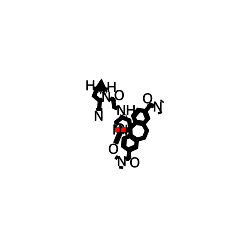 CN(C)C(=O)c1ccc2c(c1)CCc1cc(C(=O)N(C)C)ccc1C21C[C@H](NCC(=O)N2C(C#N)C[C@@H]3C[C@@H]32)Cn2oc(=O)nc21